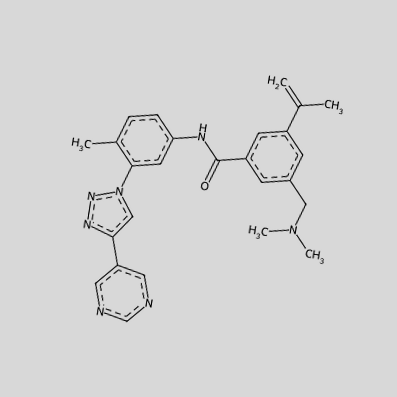 C=C(C)c1cc(CN(C)C)cc(C(=O)Nc2ccc(C)c(-n3cc(-c4cncnc4)nn3)c2)c1